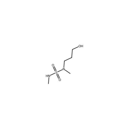 CNS(=O)(=O)N(C)CCCO